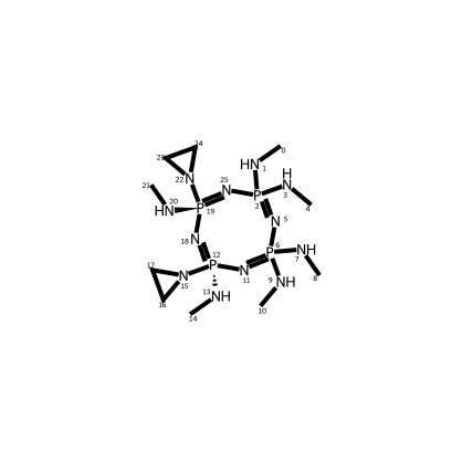 CNP1(NC)=NP(NC)(NC)=N[P@@](NC)(N2CC2)=N[P@](NC)(N2CC2)=N1